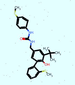 CSc1ccc(NC(=O)NCc2cc(-c3ccccc3SC)c(O)c(C(C)(C)C)c2)cc1